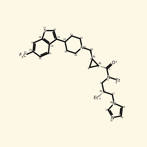 CC[C@H](CN(CC)C(=O)[C@@H]1C[C@H]1CN1CCC(c2csc3cc(C(F)(F)F)ccc23)CC1)Cn1ccnc1